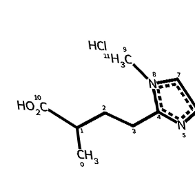 CC(CCc1nccn1C)C(=O)O.Cl